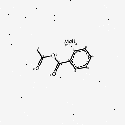 CC(=O)OC(=O)c1ccccc1.[MgH2]